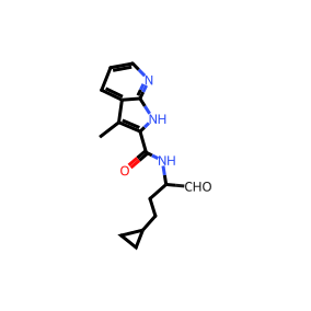 Cc1c(C(=O)NC(C=O)CCC2CC2)[nH]c2ncccc12